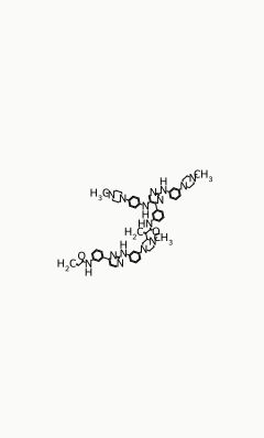 C=CC(=O)Nc1cccc(-c2ccnc(Nc3cccc(N4CCN(C)C(C(=C)C(=O)Nc5cccc(-c6nc(Nc7cccc(N8CCN(C)CC8)c7)ncc6Nc6ccc(N7CCN(C)CC7)cc6)c5)C4)c3)n2)c1